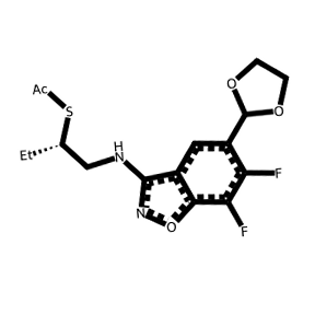 CC[C@@H](CNc1noc2c(F)c(F)c(C3OCCO3)cc12)SC(C)=O